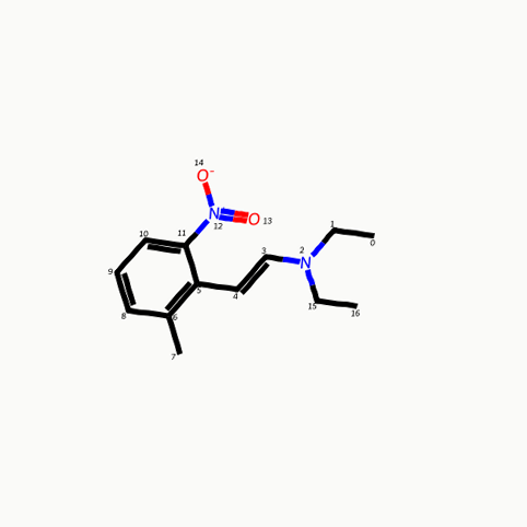 CCN(C=Cc1c(C)cccc1[N+](=O)[O-])CC